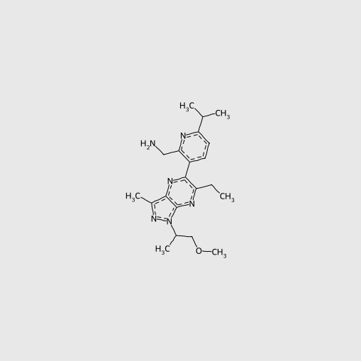 CCc1nc2c(nc1-c1ccc(C(C)C)nc1CN)c(C)nn2C(C)COC